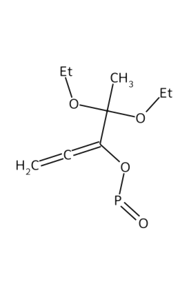 C=C=C(OP=O)C(C)(OCC)OCC